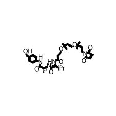 CC(C)C(NC(=O)CCOC(C)(C)CCOC(C)(C)CCN1C(=O)C=CC1=O)C(=O)N[C@@H](C)C(=O)Nc1ccc(CO)cc1